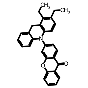 CCc1ccc2c(c1CC)Cc1ccccc1N2c1ccc2c(=O)c3ccccc3oc2c1